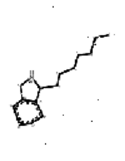 ICCCCCCC1NCc2ccccc21